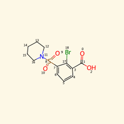 O=C(O)c1cccc(S(=O)(=O)N2CCCCC2)c1Br